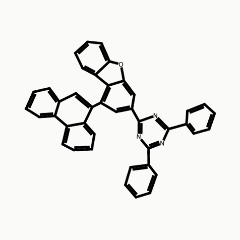 c1ccc(-c2nc(-c3ccccc3)nc(-c3cc(-c4cc5ccccc5c5ccccc45)c4c(c3)oc3ccccc34)n2)cc1